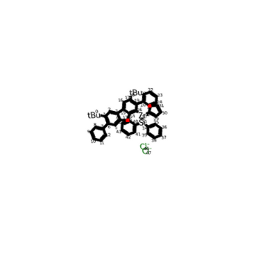 CC(C)(C)c1cc2c(cc1-c1ccccc1)Cc1c-2cc(C(C)(C)C)c(-c2ccccc2)[c]1[Zr+2]([C]1=CC=CC1)=[Si](c1ccccc1)c1ccccc1.[Cl-].[Cl-]